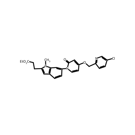 CCOC(=O)CCc1cc2ccc(-n3ccc(OCc4ccc(Cl)cn4)cc3=O)cc2n1C